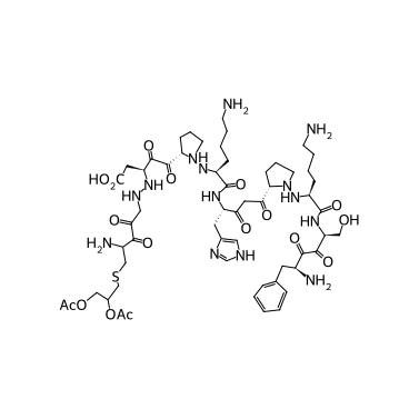 CC(=O)OCC(CSCC(N)C(=O)C(=O)CNN[C@@H](CC(=O)O)C(=O)C(=O)[C@@H]1CCCN1N[C@@H](CCCCN)C(=O)N[C@@H](Cc1c[nH]cn1)C(=O)CC(=O)[C@@H]1CCCN1N[C@@H](CCCCN)C(=O)N[C@@H](CO)C(=O)C(=O)[C@@H](N)Cc1ccccc1)OC(C)=O